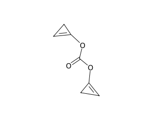 O=C(OC1=CC1)OC1=CC1